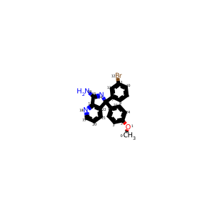 COc1ccc(C2(c3cccc(Br)c3)N=C(N)c3ncccc32)cc1